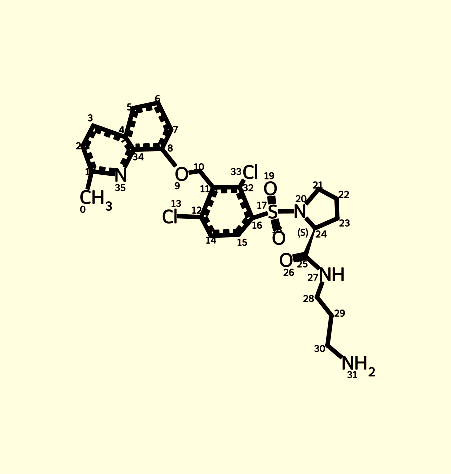 Cc1ccc2cccc(OCc3c(Cl)ccc(S(=O)(=O)N4CCC[C@H]4C(=O)NCCCN)c3Cl)c2n1